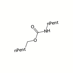 CCCCCCOC(=O)NCCCCC